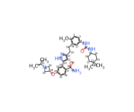 Cc1ccc(NC(=O)NC2CCC(C)(C)CC2)cc1CCc1cc(-c2cc(OC3CN(C(C)C)C3)ccc2C(N)=O)[nH]n1